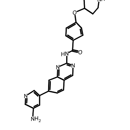 Nc1cncc(-c2ccc3cnc(NC(=O)c4ccc(OC5CCNCC5)cc4)nc3c2)c1